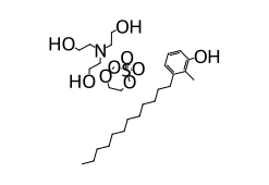 CCCCCCCCCCCCc1cccc(O)c1C.O=S1(=O)OCCOO1.OCCN(CCO)CCO